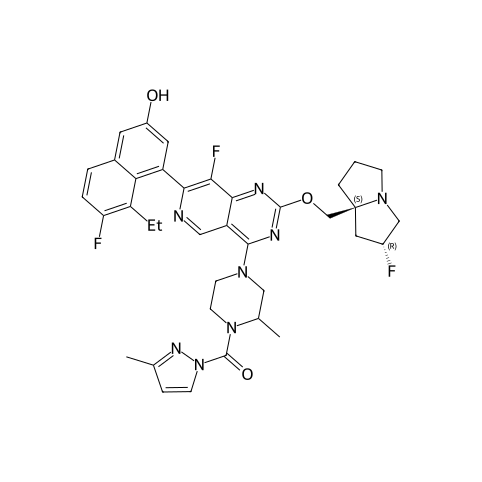 CCc1c(F)ccc2cc(O)cc(-c3ncc4c(N5CCN(C(=O)n6ccc(C)n6)C(C)C5)nc(OC[C@@]56CCCN5C[C@H](F)C6)nc4c3F)c12